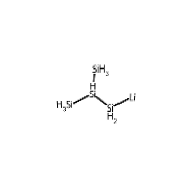 [Li][SiH2][SiH]([SiH3])[SiH3]